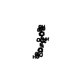 Cc1[nH]n(-c2ccc(S(=O)(=O)O)cc2)c(=O)c1/N=N/c1ccc(S(=O)(=O)O)cc1